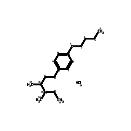 CCCCOc1ccc(CCC(C)N(C)CC)cc1.Cl